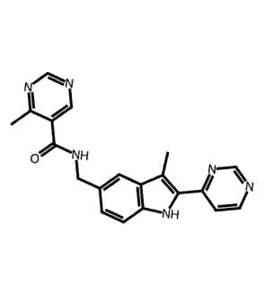 Cc1ncncc1C(=O)NCc1ccc2[nH]c(-c3ccncn3)c(C)c2c1